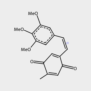 COc1cc(/C=C\C2=CC(=O)C(C)=CC2=O)cc(OC)c1OC